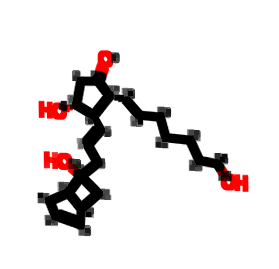 O=C1C[C@@H](O)[C@H](/C=C/CC2(O)CC3C=CCC32)[C@H]1CCCCCCCO